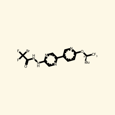 CCC(C)[C@@H](Oc1ccc(-c2cnc(NNC(=O)C(F)(F)Br)cn2)cn1)C(F)(F)F